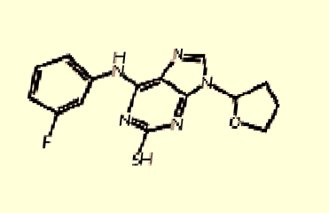 Fc1cccc(Nc2nc(S)nc3c2ncn3C2CCCO2)c1